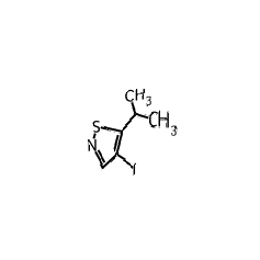 CC(C)c1sncc1I